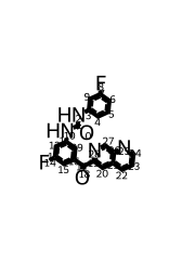 O=C(Nc1cccc(F)c1)Nc1cc(F)cc(C(=O)c2cc3cccnc3cn2)c1